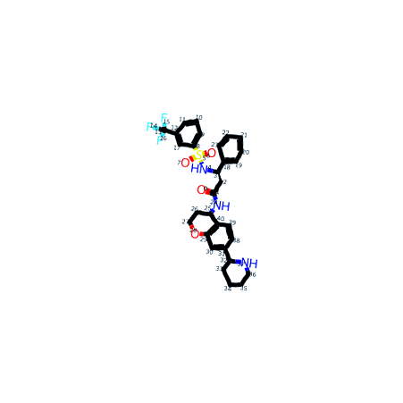 O=C(C[C@@H](NS(=O)(=O)c1cccc(C(F)(F)F)c1)c1ccccc1)NC1CCOc2cc(C3CCCCN3)ccc21